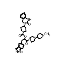 CN1CCC(N2CCN(C(=O)C(Cc3ccc4[nH]ncc4c3)OC(=O)N3CCC(N4Cc5ccccc5NC4=O)CC3)CC2)CC1